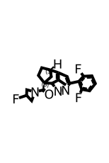 CC1=C2C=C(c3c(F)cccc3F)N=NC1[C@]1(C(=O)N3CC(F)C3)CC[C@H]2C1